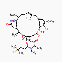 COc1cc2cc(c1Cl)N(C)C(=O)CC(OC(=O)C(C)N(C)C(=O)CCC(C)(C)S)C1(C)OC1C(C)C1CC(=O)NC(O)(C1)C(OC)/C=C/C=C(\C)C2